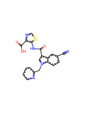 N#Cc1ccc2c(c1)c(C(=O)Nc1scnc1C(=O)O)cn2Cc1ccccn1